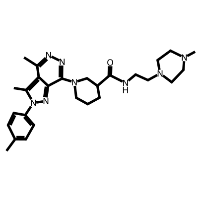 Cc1ccc(-n2nc3c(N4CCCC(C(=O)NCCN5CCN(C)CC5)C4)nnc(C)c3c2C)cc1